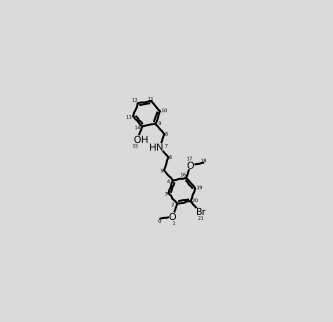 COc1cc(CCNCc2ccccc2O)c(OC)cc1Br